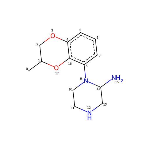 CC1COc2cccc(N3CCNCC3N)c2O1